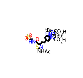 CC(=O)Nc1nc(CCc2ccc(NC(NC(=O)O)(N(C(=O)O)C(C)(C)C)C(C)(C)C)cc2)c(C(=O)NCCS(C)(=O)=O)s1